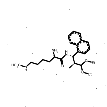 CCOC(OCC)[C@@H](C)[C@H](NC(=O)C(N)CCCCNC(=O)O)c1cccc2cccnc12